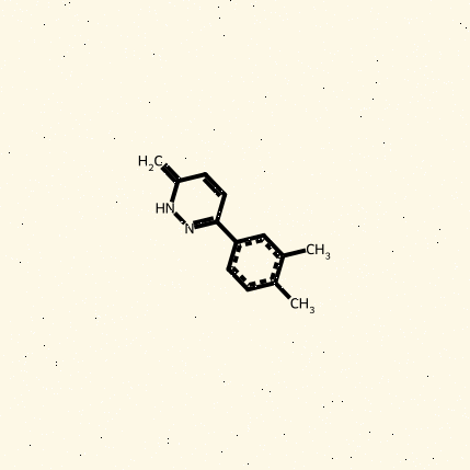 C=C1C=CC(c2ccc(C)c(C)c2)=NN1